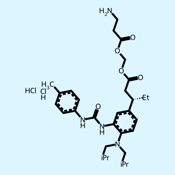 CC[C@@H](CC(=O)OCOC(=O)CCN)c1ccc(N(CC(C)C)CC(C)C)c(NC(=O)Nc2ccc(C)cc2)c1.Cl.Cl